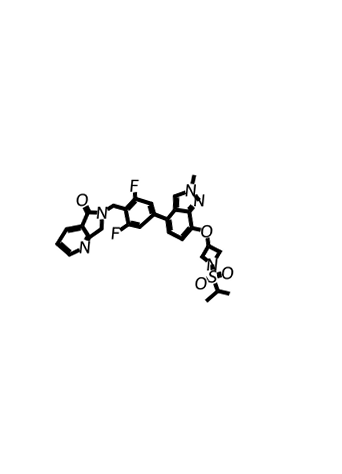 CC(C)S(=O)(=O)N1CC(Oc2ccc(-c3cc(F)c(CN4Cc5ncccc5C4=O)c(F)c3)c3cn(C)nc23)C1